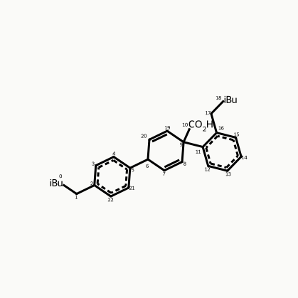 CCC(C)Cc1ccc(C2C=CC(C(=O)O)(c3ccccc3CC(C)CC)C=C2)cc1